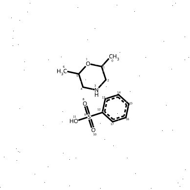 CC1CNCC(C)O1.O=S(=O)(O)c1ccccc1